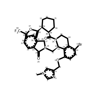 Cn1cnc(COc2ccc(Br)c3c2[C@@H](CN2Cc4ccccc4C2=O)N(C(=O)[C@@H]2CCCC[C@@H]2C(=O)OC(=O)C(F)(F)F)CC3)c1